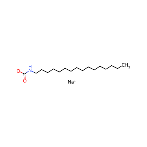 CCCCCCCCCCCCCCCCNC(=O)[O-].[Na+]